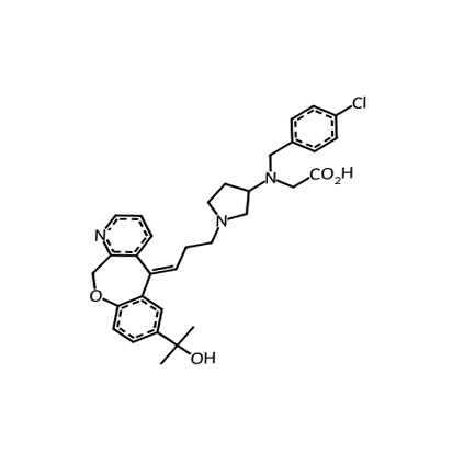 CC(C)(O)c1ccc2c(c1)/C(=C/CCN1CCC(N(CC(=O)O)Cc3ccc(Cl)cc3)C1)c1cccnc1CO2